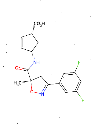 C[C@]1(C(=O)N[C@@H]2C=C[C@H](C(=O)O)C2)CC(c2cc(F)cc(F)c2)=NO1